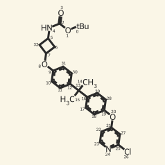 CC(C)(C)OC(=O)NC1CC(Oc2ccc(C(C)(C)c3ccc(Oc4ccnc(Cl)c4)cc3)cc2)C1